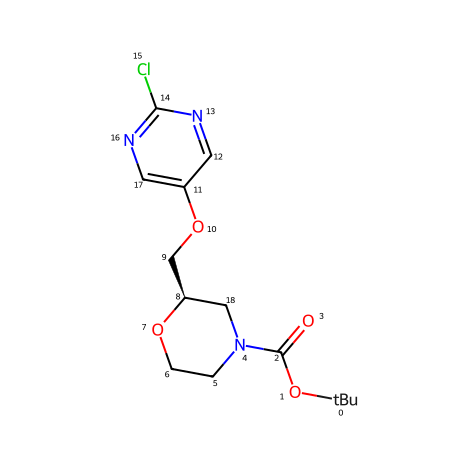 CC(C)(C)OC(=O)N1CCO[C@@H](COc2cnc(Cl)nc2)C1